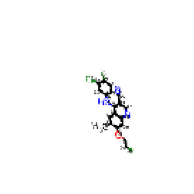 Cc1cc2c(Nc3ccc(F)c(Cl)c3)c(C#N)cnc2cc1OCCF